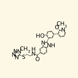 COc1ncccc1-c1ccc(O)c(-c2nc3cc(C(=O)NCCSc4nnnn4C)ccc3[nH]2)c1